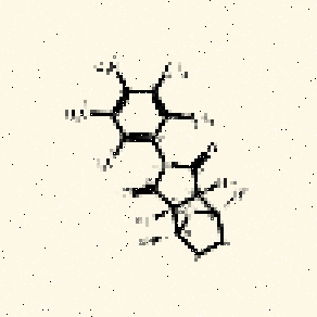 Cc1c(C)c([N+](=O)[O-])c(C)c(C)c1N1C(=O)[C@@H]2[C@H](C1=O)[C@H]1CC[C@@H]2O1